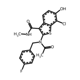 CNC(=O)c1c(N(Cc2ccc(F)cc2)C(C)=O)sc2c(Cl)c(O)ccc12